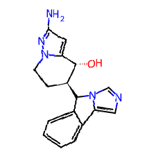 Nc1cc2n(n1)CC[C@H](C1c3ccccc3-c3cncn31)[C@H]2O